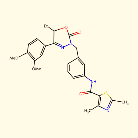 CCC1OC(=O)N(Cc2cccc(NC(=O)c3sc(C)nc3C)c2)N=C1c1ccc(OC)c(OC)c1